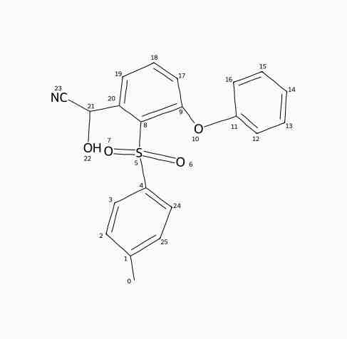 Cc1ccc(S(=O)(=O)c2c(Oc3ccccc3)cccc2C(O)C#N)cc1